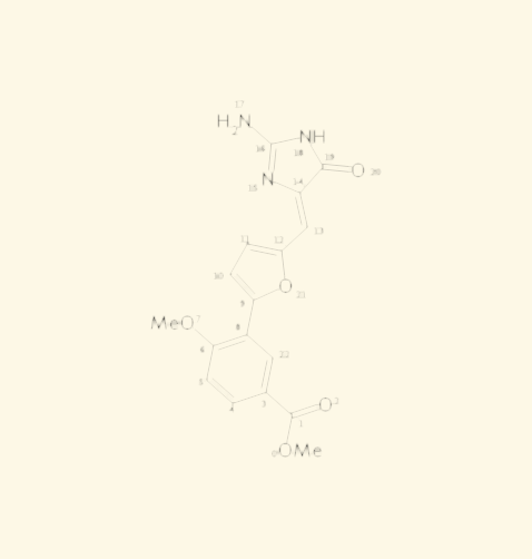 COC(=O)c1ccc(OC)c(-c2ccc(/C=C3\N=C(N)NC3=O)o2)c1